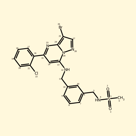 CS(=O)(=O)NCc1cccc(CNc2cc(-c3ccccc3Cl)nc3c(Br)cnn23)c1